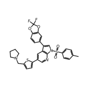 Cc1ccc(S(=O)(=O)n2cc(-c3ccc4c(c3)OC(F)(F)O4)c3cc(-c4ccc(CN5CCCC5)s4)cnc32)cc1